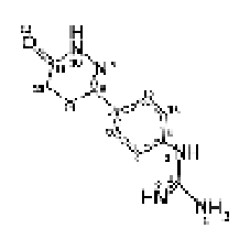 N=C(N)Nc1ccc(C2=NNC(=O)CC2)cc1